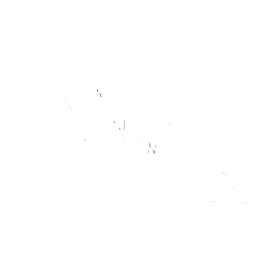 C1=COC1.Cc1cccnc1C(=O)NCc1coc(-c2ccc(OC(F)F)cc2)n1